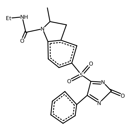 CCNC(=O)N1c2ccc(S(=O)(=O)C3=NC(=O)N=C3c3ccccc3)cc2CC1C